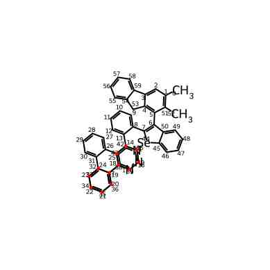 Cc1cc2c(c(-c3c(-c4ccccc4-c4nnnc(-c5ccccc5)c4-c4ccccc4-c4ccccc4-c4ccccc4)[se]c4ccccc34)c1C)Cc1ccccc1-2